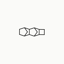 C1CC2CC1C1C3CC(C4CCC43)C21